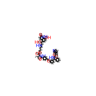 CC(C)C(NC(=O)c1ccc(COc2cccc([C@@H](NC(=O)O[C@H]3CN4CCC3CC4)c3ccccc3)c2)cc1)C(=O)OCCCCNC[C@H](O)c1ccc(O)c2[nH]c(=O)ccc12